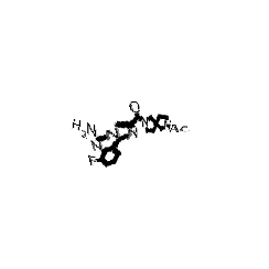 CC(=O)N1CCC2(CCN(C(=O)c3cn4c(N)nc5c(F)cccc5c4n3)C2)C1